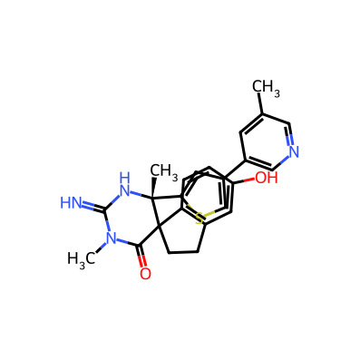 Cc1cncc(-c2csc([C@@]3(C)NC(=N)N(C)C(=O)C34CCc3cc(O)ccc34)c2)c1